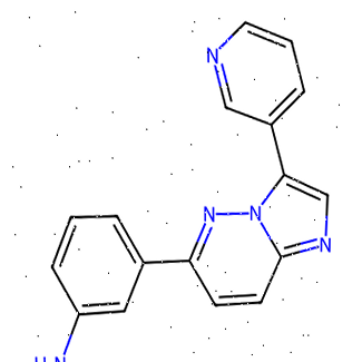 Nc1cccc(-c2ccc3ncc(-c4cccnc4)n3n2)c1